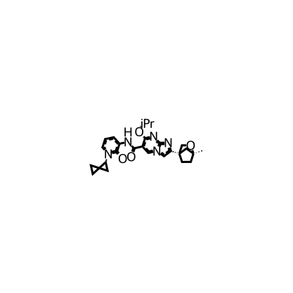 CC(C)Oc1nc2nc([C@@]34CC[C@@](C)(C3)OC4)cn2cc1C(=O)Nc1cccn([C@@H]2CC23CC3)c1=O